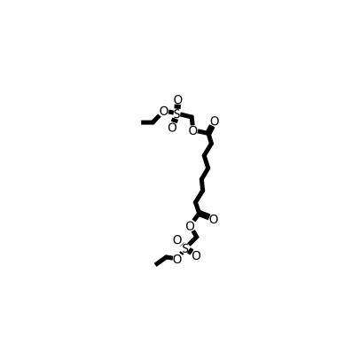 CCOS(=O)(=O)COC(=O)CCCCCCC(=O)OCS(=O)(=O)OCC